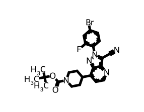 CC(C)(C)OC(=O)N1CCC(c2ccnc3c(C#N)n(-c4ccc(Br)cc4F)nc23)CC1